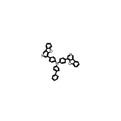 c1ccc(-c2ccc(N(c3ccc(-c4cncc5c4oc4ccccc45)cc3)c3ccc(-c4cncc5c4oc4ccccc45)cc3)cc2)cc1